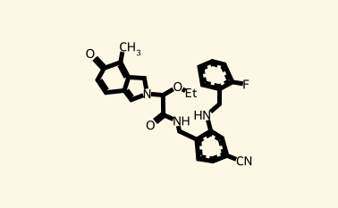 CCOC(C(=O)NCc1ccc(C#N)cc1NCc1ccccc1F)N1C=C2C=CC(=O)C(C)=C2C1